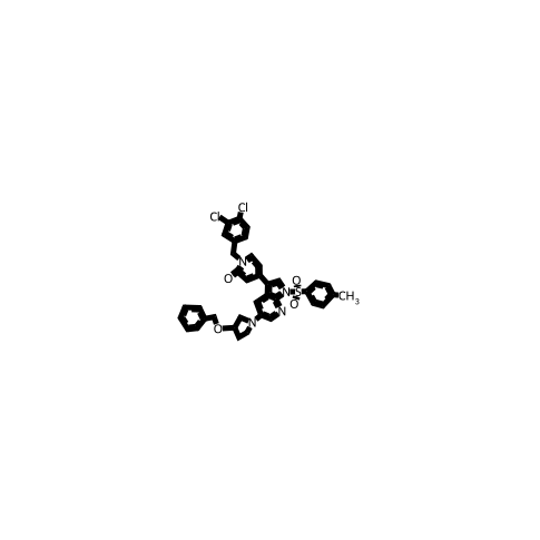 Cc1ccc(S(=O)(=O)n2cc(-c3ccn(Cc4ccc(Cl)c(Cl)c4)c(=O)c3)c3cc(N4CCC(OCc5ccccc5)C4)cnc32)cc1